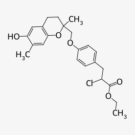 CCOC(=O)C(Cl)Cc1ccc(OCC2(C)CCc3cc(O)c(C)cc3O2)cc1